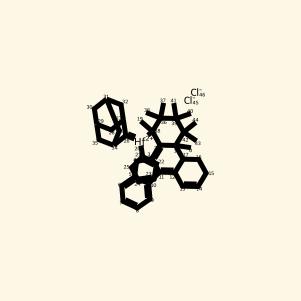 CC12C(=C3Cc4ccccc4C3=C3C=CCCC31)[C](C)([Hf+2]([C]1=CC=CC1)=[C]1C3CC4CC(C3)CC1C4)C(C)(C)C(C)(C)C2(C)C.[Cl-].[Cl-]